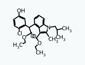 CCOC(=O)c1c(C)n(CC(C)C)c2cccc(C(C(=O)OCC)c3cc(O)ccc3Cl)c12